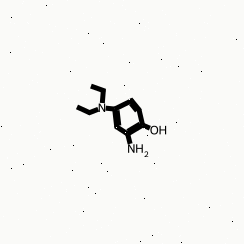 CCN(CC)c1ccc(O)c(N)c1